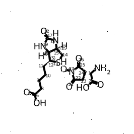 NCC(=O)O.O=C(O)CCCC[C@@H]1SC[C@@H]2NC(=O)N[C@@H]21.O=C1CCC(=O)N1O